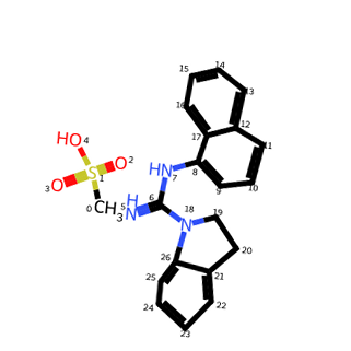 CS(=O)(=O)O.N=C(Nc1cccc2ccccc12)N1CCc2ccccc21